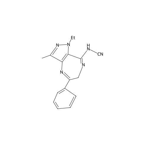 CCn1nc(C)c2c1C(NC#N)=NCC(c1ccccc1)=N2